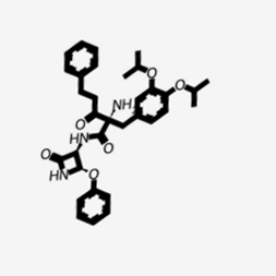 CC(C)Oc1ccc(C[C@](N)(C(=O)CCc2ccccc2)C(=O)N[C@@H]2C(=O)N[C@H]2Oc2ccccc2)cc1OC(C)C